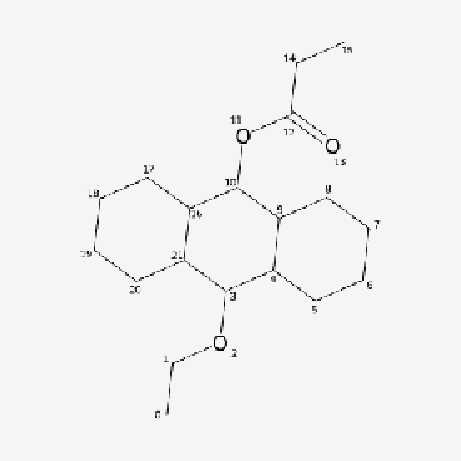 CCOC1C2CCCCC2C(OC(=O)CC)C2CCCCC21